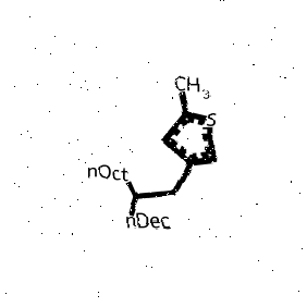 CCCCCCCCCCC(CCCCCCCC)Cc1csc(C)c1